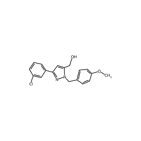 COc1ccc(Cn2nc(-c3cccc(Cl)c3)cc2CO)cc1